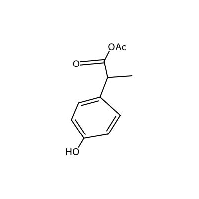 CC(=O)OC(=O)C(C)c1ccc(O)cc1